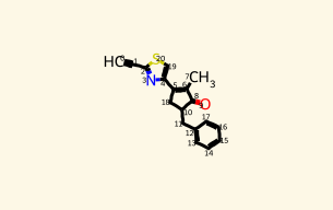 C#Cc1nc(C2=C(C)C(=O)C(Cc3ccccc3)C2)cs1